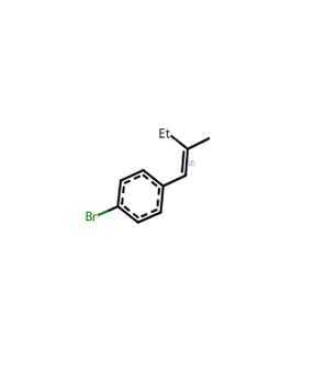 CC/C(C)=C\c1ccc(Br)cc1